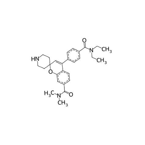 CCN(CC)C(=O)c1ccc(C2=CC3(CCNCC3)Oc3cc(C(=O)N(C)C)ccc32)cc1